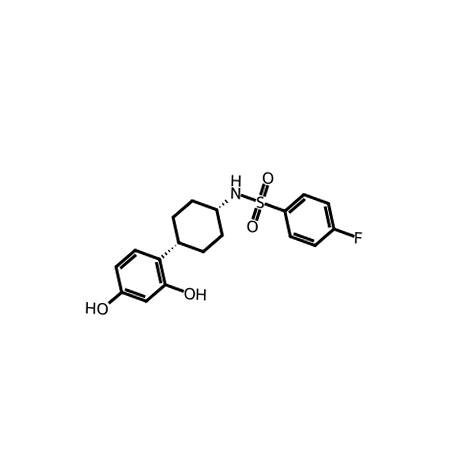 O=S(=O)(N[C@H]1CC[C@@H](c2ccc(O)cc2O)CC1)c1ccc(F)cc1